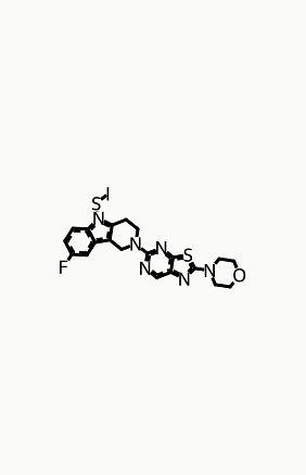 Fc1ccc2c(c1)c1c(n2SI)CCN(c2ncc3nc(N4CCOCC4)sc3n2)C1